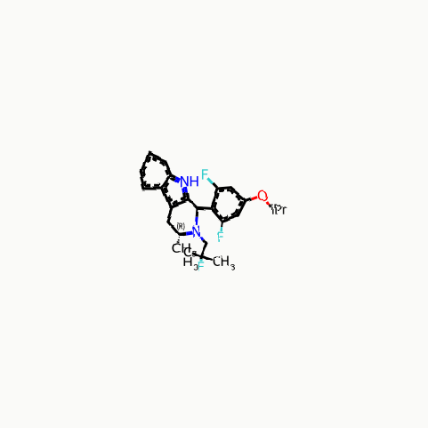 CC(C)Oc1cc(F)c(C2c3[nH]c4ccccc4c3C[C@@H](C)N2CC(C)(C)F)c(F)c1